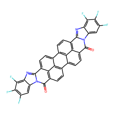 O=c1c2ccc3c4ccc5c(=O)n6c7cc(F)c(F)c(F)c7nc6c6ccc(c7ccc(c2c37)c2nc3c(F)c(F)c(F)cc3n12)c4c56